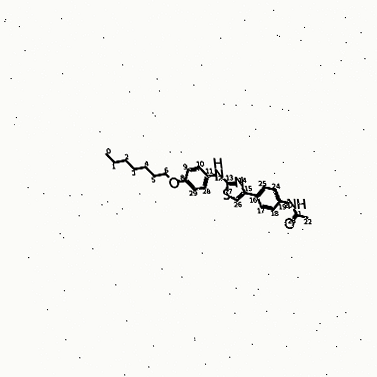 CCCCCCCOc1ccc(Nc2nc(-c3ccc(NC(C)=O)cc3)cs2)cc1